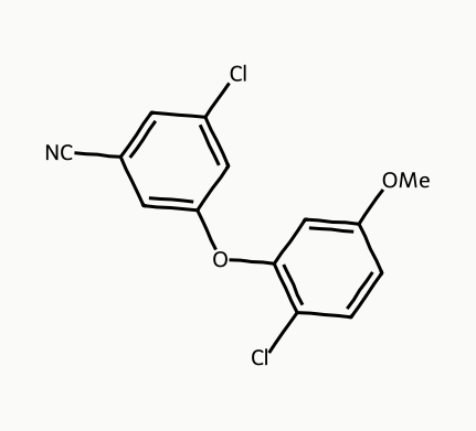 COc1ccc(Cl)c(Oc2cc(Cl)cc(C#N)c2)c1